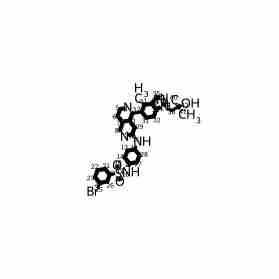 Cc1c(-c2nccc3cnc(Nc4ccc(NS(=O)(=O)c5cccc(Br)c5)cc4)cc23)ccc2c1cnn2CC(C)(C)O